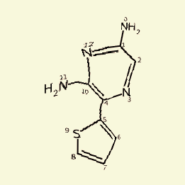 Nc1cnc(-c2cccs2)c(N)n1